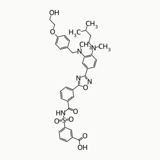 CC(C)CCN(C)c1ccc(-c2noc(-c3cccc(C(=O)NS(=O)(=O)c4cccc(C(=O)O)c4)c3)n2)cc1N(C)Cc1ccc(OCCO)cc1